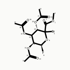 COC(=O)C1(Br)O[C@@H](F)[C@@H](OC(C)=O)C(OC(C)=O)[C@@H]1OC(C)=O